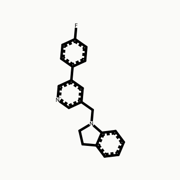 Fc1ccc(-c2cncc(CN3CCc4ccccc43)c2)cc1